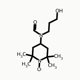 CC1(C)CC(N(C=O)CCCO)CC(C)(C)N1[O]